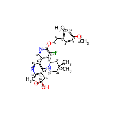 COc1ccc(CCOc2ncc(-c3cnc(C)c(CC(=O)O)c3N3CCC(C)(C)CC3)cc2F)c(C)c1